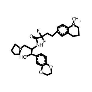 CN1CCCc2cc(CCC(F)(F)C(=O)NC(CN3CCCC3)C(O)c3ccc4c(c3)OCCO4)ccc21